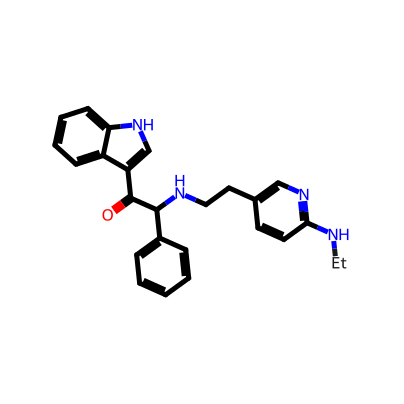 CCNc1ccc(CCNC(C(=O)c2c[nH]c3ccccc23)c2ccccc2)cn1